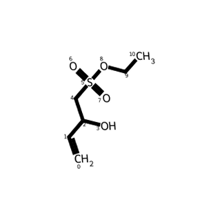 C=CC(O)CS(=O)(=O)OCC